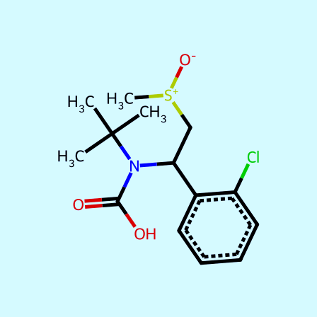 C[S+]([O-])CC(c1ccccc1Cl)N(C(=O)O)C(C)(C)C